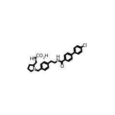 O=C(O)NCC1CCCN1Cc1ccc(CCNC(=O)c2ccc(-c3ccc(Cl)cc3)cc2)cc1